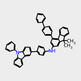 CC1(C)c2ccccc2-c2c(-c3ccc(-c4ccccc4)cc3)cc(Nc3ccc(-c4ccc5c(c4)c4ccccc4n5-c4ccccc4)cc3)cc21